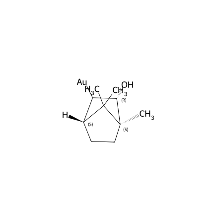 CC1(C)[C@@H]2CC[C@]1(C)[C@@H](O)[CH]2[Au]